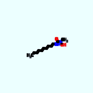 CCCCCCCCCCNC(=O)N(C)O